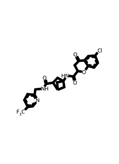 O=C1CC(C(=O)NC23CC(C2)C(C(=O)NCc2ccc(C(F)(F)F)cn2)C3)Oc2ccc(Cl)cc21